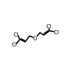 ClC(Cl)=CCOCC=C(Cl)Cl